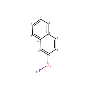 IOc1ccc2ccccc2c1